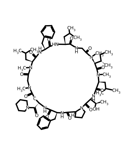 CC[C@H](C)[C@H]1C(=O)N(C)[C@@H](CC(C)C)C(=O)N[C@@H]([C@@H](C)O)C(=O)N2CCC[C@H]2C(=O)N[C@@H](Cc2ccccc2)C(=O)N[C@H](C(=O)N2CCCCC2)CC(=O)N(C)CC(=O)N(C)[C@@H](CC(C)C)C(=O)N[C@@H](Cc2ccccc2)C(=O)N[C@@H](CC(C)C)C(=O)NCC(=O)N1C